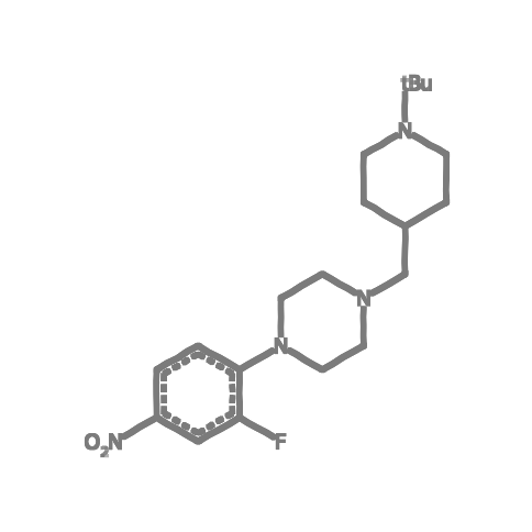 CC(C)(C)N1CCC(CN2CCN(c3ccc([N+](=O)[O-])cc3F)CC2)CC1